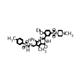 CCCc1c(/C=N/NS(=O)(=O)c2ccc(C)cc2)c(C)c2c(=O)[nH]c(-c3cc(S(=O)(=O)N4CCN(C)CC4)ccc3OCC)nn12